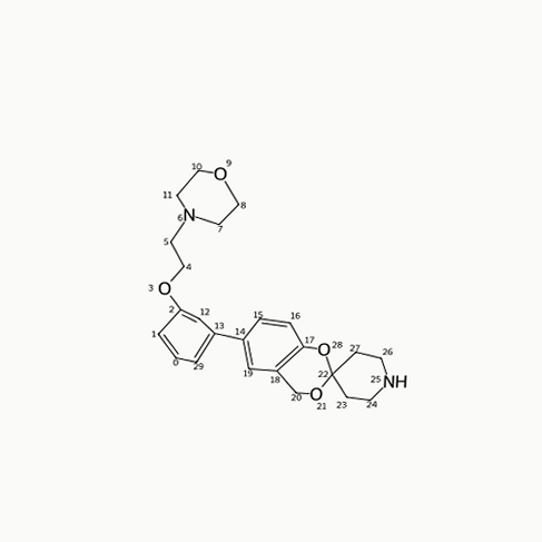 c1cc(OCCN2CCOCC2)cc(-c2ccc3c(c2)COC2(CCNCC2)O3)c1